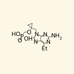 CCc1nc(N)nc2c1ncn2CC1(OCP(=O)(O)O)CC1